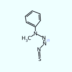 CN(/N=N\N=S)c1ccccc1